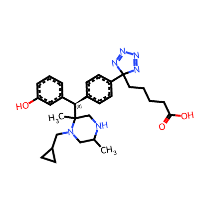 CC1CN(CC2CC2)C(C)([C@H](c2ccc(C3(CCCCC(=O)O)N=NN=N3)cc2)c2cccc(O)c2)CN1